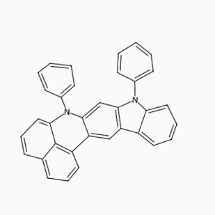 c1ccc(N2c3cc4c(cc3-c3cccc5cccc2c35)c2ccccc2n4-c2ccccc2)cc1